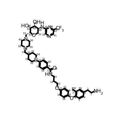 NCCc1ccc(Oc2ccc(OCCCNC(=O)c3ccc(N4CCC(CN5CCN(C[C@H]6OC[C@H](Nc7cncc(C(F)(F)F)n7)[C@@H](O)[C@H]6O)CC5)CC4)cc3)cc2)c(I)c1